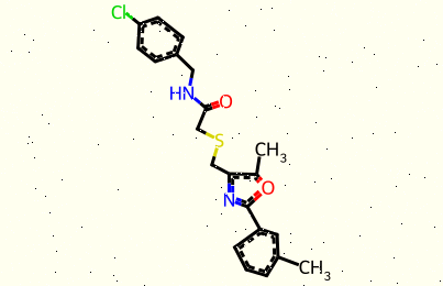 Cc1cccc(-c2nc(CSCC(=O)NCc3ccc(Cl)cc3)c(C)o2)c1